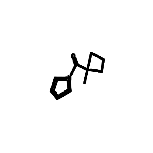 CC1(C(=O)n2cccc2)CCC1